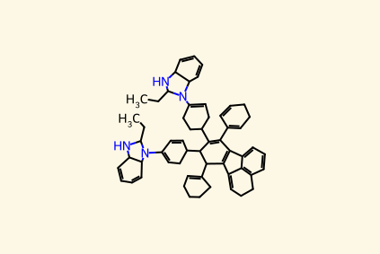 CCC1NC2C=CC=CC2N1C1=CCC(C2C(C3CC=C(N4C(CC)NC5C=CC=CC54)CC3)=C(C3=CCCC=C3)C3=C(C4=CCCc5cccc3c54)C2C2=CCCCC2)C=C1